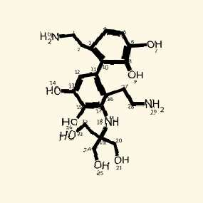 NCCc1ccc(O)c(O)c1-c1cc(O)c(O)c(NC(CO)(CO)CO)c1CCN